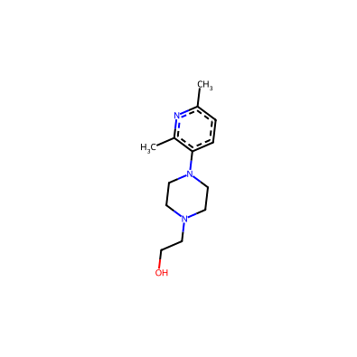 Cc1ccc(N2CCN(CCO)CC2)c(C)n1